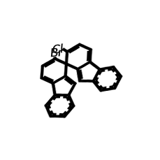 ClC1=CC=C2C(=Cc3ccccc32)C12C(Br)=CC=C1C2=Cc2ccccc21